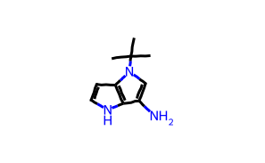 CC(C)(C)n1cc(N)c2[nH]ccc21